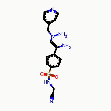 N#CCNS(=O)(=O)c1ccc(/C(N)=C/N(N)Cc2ccncc2)cc1